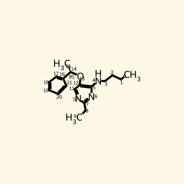 CCCCNc1nc(CC)ncc1O[C@H](C)c1ccccc1